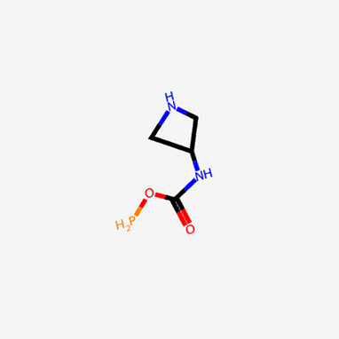 O=C(NC1CNC1)OP